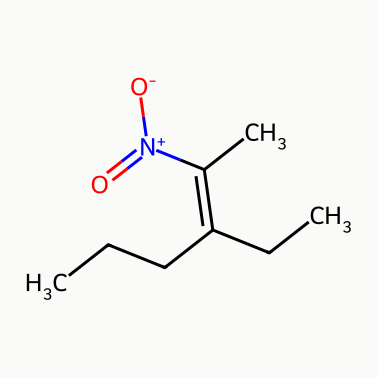 CCCC(CC)=C(C)[N+](=O)[O-]